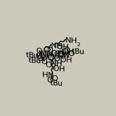 CN(C(=O)OC(C)(C)C)[C@@H]1[C@@H](O)[C@@H](O[C@@H]2[C@@H](O)[C@H](C3OC(CNCC(O)CCCN)=CC[C@H]3NC(=O)OC(C)(C)C)[C@@H](NC(=O)OC(C)(C)C)C[C@H]2NC(=O)[C@@H](O)CCNC(=O)OC(C)(C)C)OC[C@]1(C)O